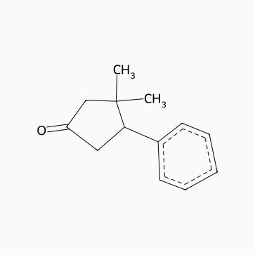 CC1(C)CC(=O)CC1c1ccccc1